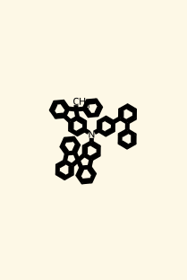 CC1(c2ccccc2)c2ccccc2-c2ccc(N(c3ccc(-c4ccccc4-c4ccccc4)cc3)c3ccc4c(c3)C3(c5ccccc5-c5ccccc53)c3ccccc3-4)cc21